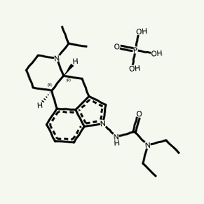 CCN(CC)C(=O)Nn1cc2c3c(cccc31)[C@H]1CCCN(C(C)C)[C@@H]1C2.O=P(O)(O)O